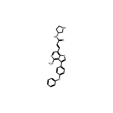 Nc1ncc(/C=C/C(=O)N[C@H]2CCNC2)c2scc(-c3ccc(Oc4ccccc4)cc3)c12